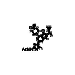 CC(=O)Nc1nc(C)c(-c2cc3c(c(N4CCS(=O)(=O)CC4)n2)C(=O)N(C(C)C2CC2)C3)s1